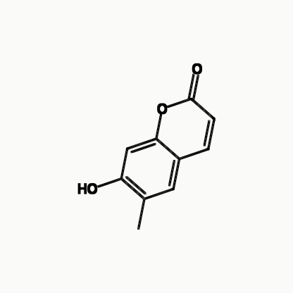 Cc1cc2ccc(=O)oc2cc1O